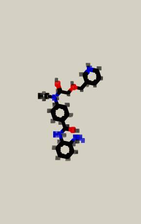 CN(C(=O)COCc1cccnc1)c1ccc(C(=O)Nc2ccccc2N)cc1